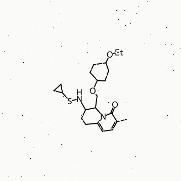 CCOC1CCC(OCC2C(NSC3CC3)CCc3ccc(C)c(=O)n32)CC1